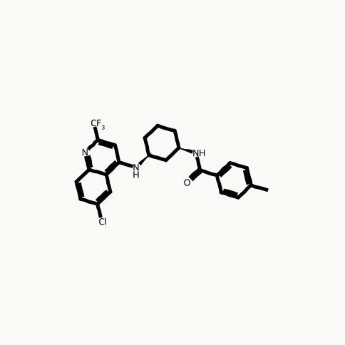 Cc1ccc(C(=O)N[C@@H]2CCC[C@H](Nc3cc(C(F)(F)F)nc4ccc(Cl)cc34)C2)cc1